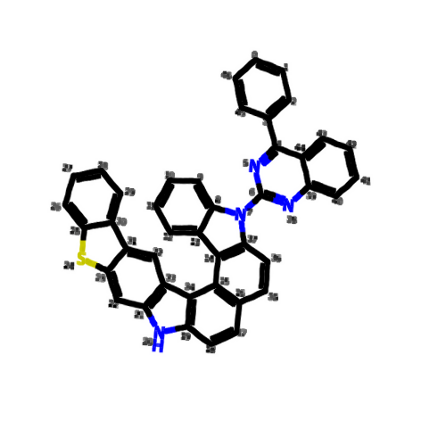 c1ccc(-c2nc(-n3c4ccccc4c4c5c(ccc6[nH]c7cc8sc9ccccc9c8cc7c65)ccc43)nc3ccccc23)cc1